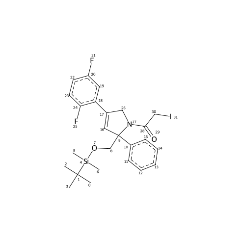 CC(C)(C)[Si](C)(C)OCC1(c2ccccc2)C=C(c2cc(F)ccc2F)CN1C(=O)CI